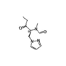 CCC(=O)[C@H](Cn1cccn1)N(C)C=O